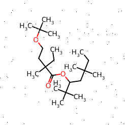 CCC(C)(C)CC(OC(=O)C(C)(CC)CCOC(C)(C)C)C(C)(C)C